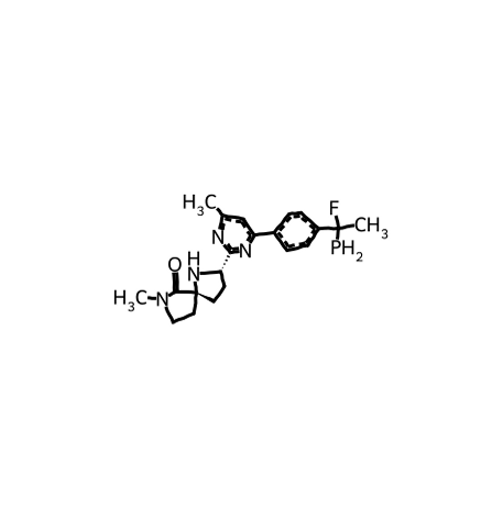 Cc1cc(-c2ccc(C(C)(F)P)cc2)nc([C@@H]2CC[C@]3(CCN(C)C3=O)N2)n1